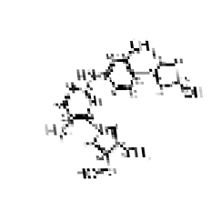 Cc1cn(-c2nc(Nc3ccc(N4CC[C@H](O)C4)c(C)c3)ncc2C)cc1CO